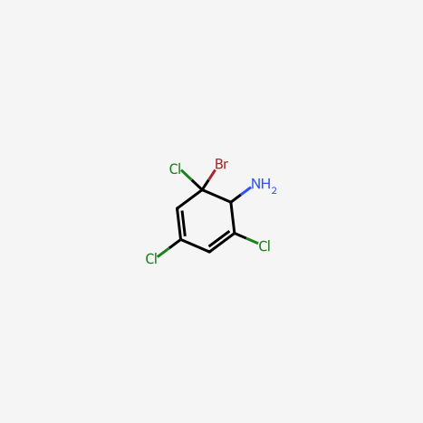 NC1C(Cl)=CC(Cl)=CC1(Cl)Br